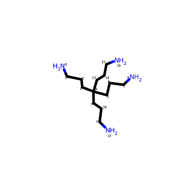 NCCCC(CCCN)(CCCN)CCCN